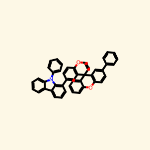 c1ccc(-c2ccc3c(c2)C2(c4ccccc4O3)c3ccccc3Oc3ccc(-c4cccc5c6ccccc6n(-c6ccccc6)c45)cc32)cc1